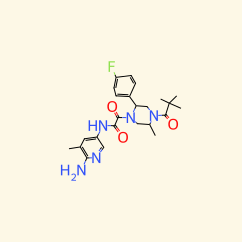 Cc1cc(NC(=O)C(=O)N2CC(C)N(C(=O)C(C)(C)C)CC2c2ccc(F)cc2)cnc1N